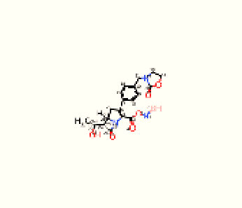 B=NOC(=O)C1=C(c2ccc(CN3CCOC3=O)cc2)C[C@@H]2[C@@H]([C@@H](C)O)C(=O)N12